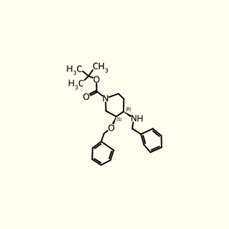 CC(C)(C)OC(=O)N1CC[C@@H](NCc2ccccc2)[C@@H](OCc2ccccc2)C1